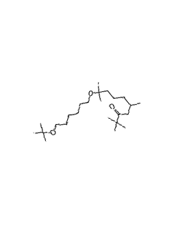 CC(CCCC(C)(C)OCCCCCCOC(C)(C)C)CC(=O)C(C)(C)C